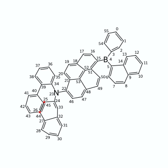 c1ccc(B(c2cccc3ccccc23)c2ccc3ccc4c(N(c5ccc6ccccc6c5)c5ccccc5-c5ccccc5)ccc5ccc2c3c54)cc1